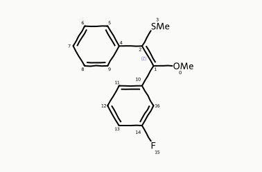 CO/C(=C(\SC)c1ccccc1)c1cccc(F)c1